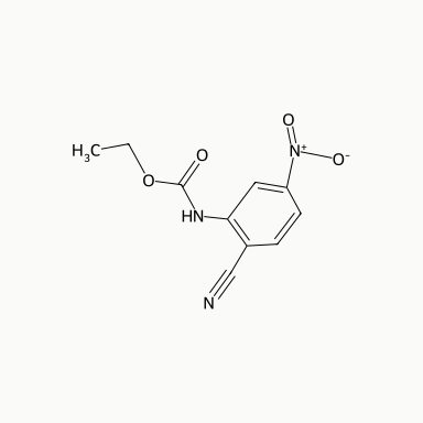 CCOC(=O)Nc1cc([N+](=O)[O-])ccc1C#N